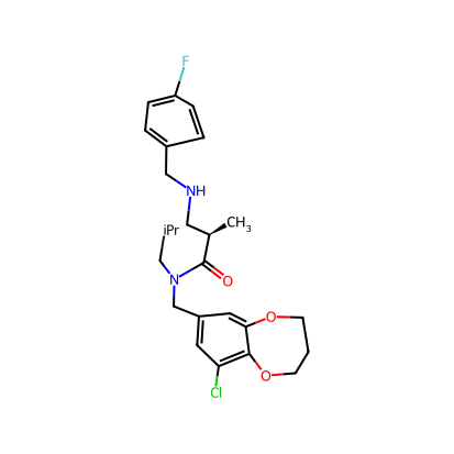 CC(C)CN(Cc1cc(Cl)c2c(c1)OCCCO2)C(=O)[C@H](C)CNCc1ccc(F)cc1